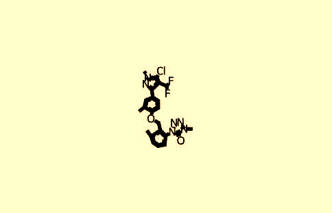 Cc1cc(-c2nn(C)c(Cl)c2C(F)F)ccc1OCc1c(C)cccc1-n1nnn(C)c1=O